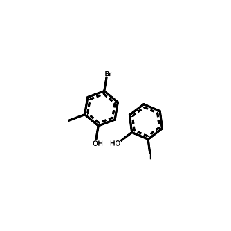 Cc1cc(Br)ccc1O.Oc1ccccc1I